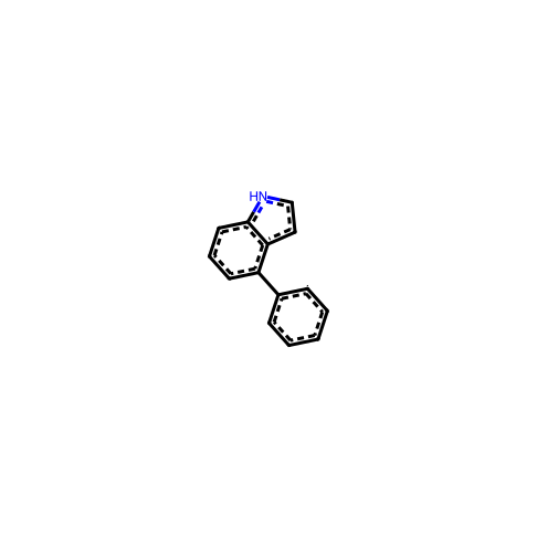 [c]1ccccc1-c1cccc2[nH]ccc12